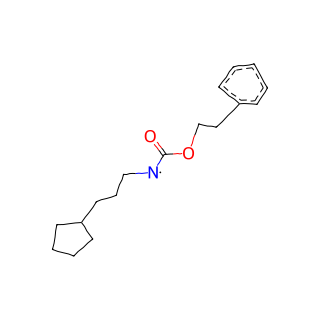 O=C([N]CCCC1CCCC1)OCCc1ccccc1